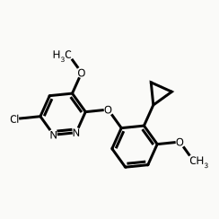 COc1cc(Cl)nnc1Oc1cccc(OC)c1C1CC1